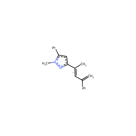 C=C(/C=C(\C)c1cc(C(C)C)n(C)n1)C(C)C